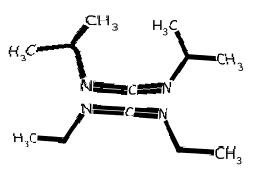 CC(C)N=C=NC(C)C.CCN=C=NCC